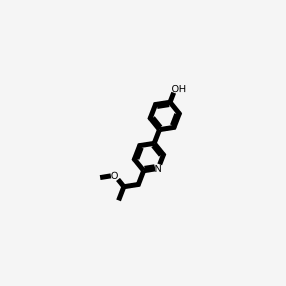 COC(C)Cc1ccc(-c2ccc(O)cc2)cn1